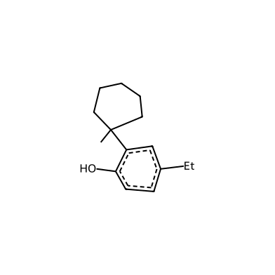 CCc1ccc(O)c(C2(C)CCCCC2)c1